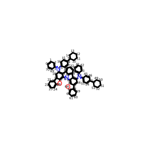 c1ccc(N(c2ccc(C3CCCCC3)cc2)c2cc3c4ccccc4oc3c3c2c2cccc4c5c(N(c6ccccc6)c6ccc(C7CCCCC7)cc6)cc6c7ccccc7oc6c5n3c24)cc1